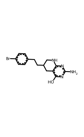 Nc1nc(O)c2c(n1)NCC(CCc1ccc(Br)cc1)C2